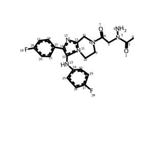 CC(=O)N(N)CC(=O)N1CCn2c(nc(-c3ccc(F)cc3)c2Nc2ccc(F)cc2)C1